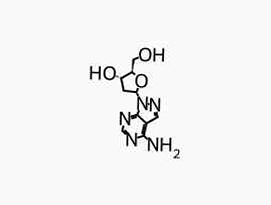 Nc1ncnc2c1cnn2[C@H]1C[C@H](O)[C@@H](CO)O1